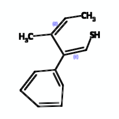 C/C=C(C)\C(=C/S)c1ccccc1